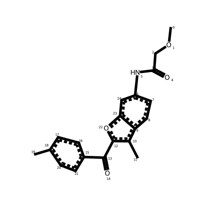 COCC(=O)Nc1ccc2c(C)c(C(=O)c3ccc(C)cc3)oc2c1